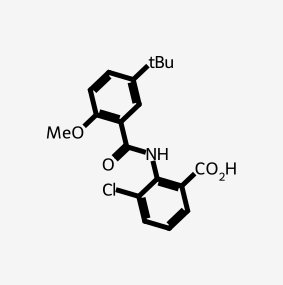 COc1ccc(C(C)(C)C)cc1C(=O)Nc1c(Cl)cccc1C(=O)O